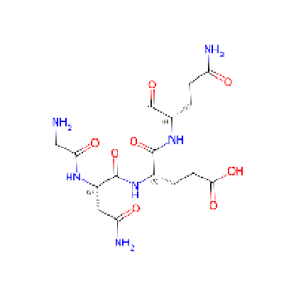 NCC(=O)N[C@@H](CC(N)=O)C(=O)N[C@@H](CCC(=O)O)C(=O)N[C@H]([C]=O)CCC(N)=O